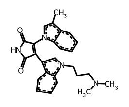 Cc1cn(C2=C(c3cn(CCCN(C)C)c4ccccc34)C(=O)NC2=O)c2ccccc12